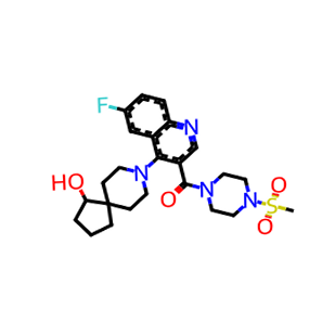 CS(=O)(=O)N1CCN(C(=O)c2cnc3ccc(F)cc3c2N2CCC3(CCCC3O)CC2)CC1